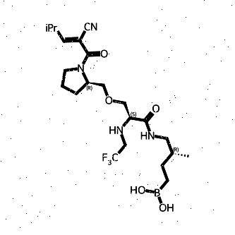 CC(C)C=C(C#N)C(=O)N1CCC[C@@H]1COC[C@H](NCC(F)(F)F)C(=O)NC[C@H](C)CCB(O)O